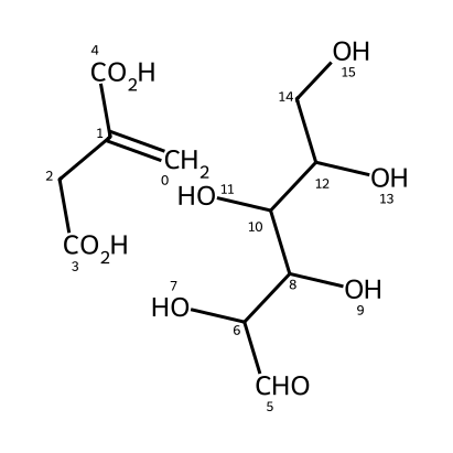 C=C(CC(=O)O)C(=O)O.O=CC(O)C(O)C(O)C(O)CO